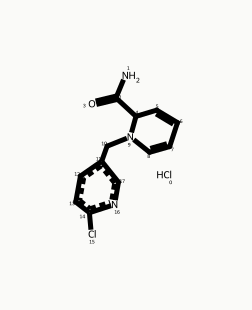 Cl.NC(=O)C1C=CC=CN1Cc1ccc(Cl)nc1